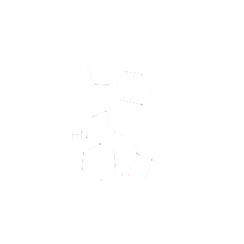 CCc1cc(C)ccc1C1=C(OC(=O)C(C)(C)C)C2(CCCCC2)NC1=O